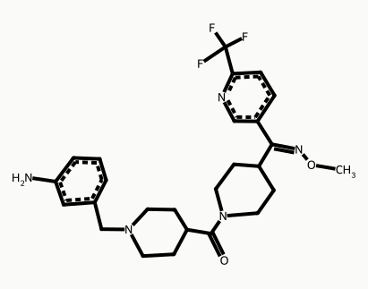 CON=C(c1ccc(C(F)(F)F)nc1)C1CCN(C(=O)C2CCN(Cc3cccc(N)c3)CC2)CC1